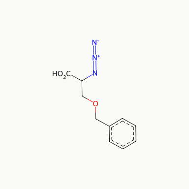 [N-]=[N+]=NC(COCc1ccccc1)C(=O)O